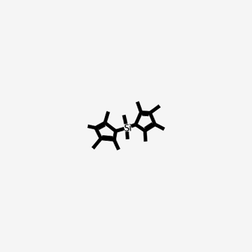 CC1=C(C)C([Si](C)(C)C2C(C)=C(C)C(C)=C2C)C(C)=C1C